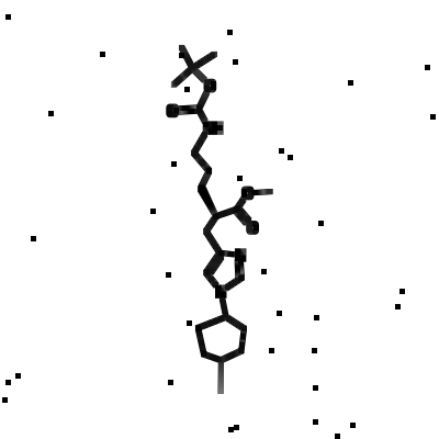 COC(=O)[C@H](CCCNC(=O)OC(C)(C)C)Cc1cn(C2CCC(C)CC2)cn1